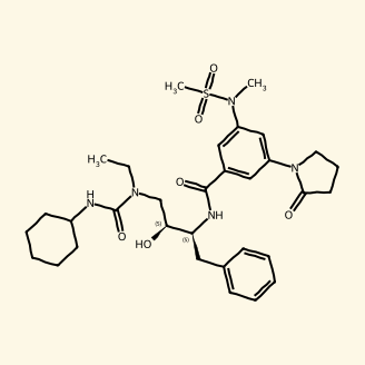 CCN(C[C@H](O)[C@H](Cc1ccccc1)NC(=O)c1cc(N2CCCC2=O)cc(N(C)S(C)(=O)=O)c1)C(=O)NC1CCCCC1